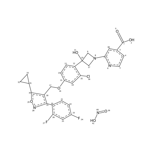 O=C(O)c1ccnc(N2CC(O)(c3ccc(OCc4c(-c5ccc(F)cc5F)noc4C4CC4)cc3Cl)C2)c1.O=NO